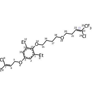 CCc1cc(OCC=C(Cl)Cl)cc(CC)c1OCCCCOCC/C=C(\Cl)C(F)(F)F